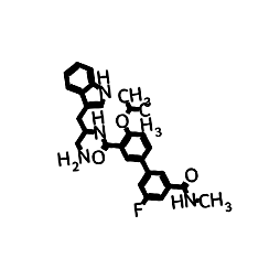 CNC(=O)c1cc(F)cc(-c2ccc(OC(C)C)c(C(=O)NC(CN)Cc3c[nH]c4ccccc34)c2)c1